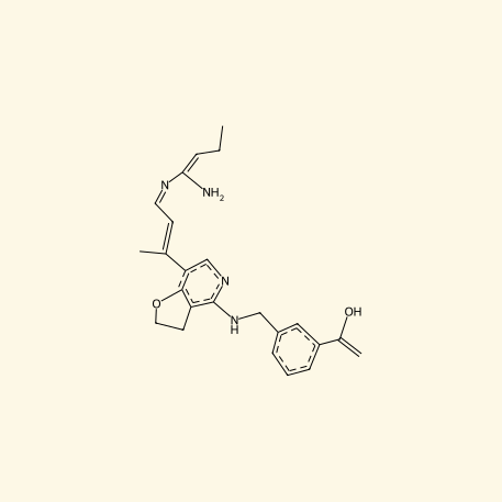 C=C(O)c1cccc(CNc2ncc(/C(C)=C/C=N\C(N)=C\CC)c3c2CCO3)c1